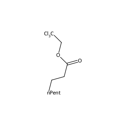 CCCCCCCC(=O)OCC(Cl)(Cl)Cl